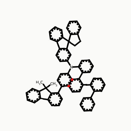 CC1(C)c2ccccc2-c2cccc(-c3ccc(N(c4ccc5c(c4)C4(CCc6ccccc64)c4ccccc4-5)c4ccccc4-c4ccccc4-c4ccccc4-c4ccccc4)cc3)c21